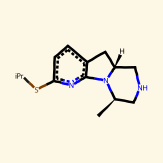 CC(C)Sc1ccc2c(n1)N1[C@@H](CNC[C@H]1C)C2